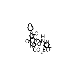 CCOC(=O)c1cc2n(CC(=O)Nc3ccc(F)cn3)c3c(c(=O)n2n1)CN(C1CCOCC1)C3=O